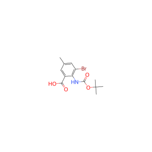 Cc1cc(Br)c(NC(=O)OC(C)(C)C)c(C(=O)O)c1